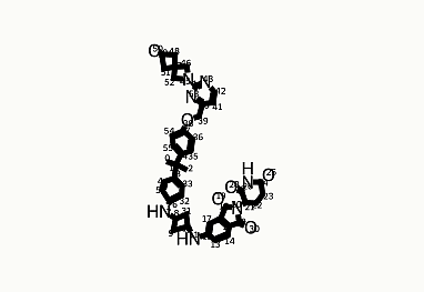 CC(C)(c1ccc(NC2CC(Nc3ccc4c(c3)C(=O)N(C3CCC(=O)NC3=O)C4=O)C2)cc1)c1ccc(OCc2ccnc(N3CC4(CC(=O)C4)C3)n2)cc1